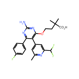 Cc1cc(-c2c(OCCC(C)(C)C(=O)O)nc(N)nc2-c2ccc(F)cc2)cc(C(F)F)n1